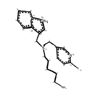 NCCCCCN(Cc1ccc(F)nc1)Cc1c[nH]c2ccccc12